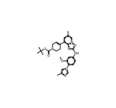 COc1cc(Nc2nc3c(C4=CCN(C(=O)OC(C)(C)C)CC4)cc(C)cn3n2)ccc1-n1cnc(C)c1